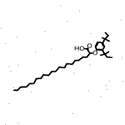 CCCCCCCCCCCCCCCCCCCCC(Oc1ccc(C(C)(C)CC)cc1C(C)(C)CC)C(=O)O